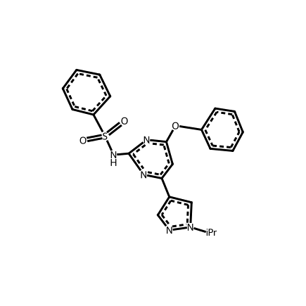 CC(C)n1cc(-c2cc(Oc3ccccc3)nc(NS(=O)(=O)c3ccccc3)n2)cn1